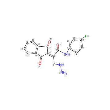 NNCC(C(=O)Nc1ccc(F)cc1)=C1C(=O)c2ccccc2C1=O